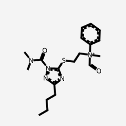 CCCCc1nc(SCC[N+](C)(C=O)c2ccccc2)n(C(=O)N(C)C)n1